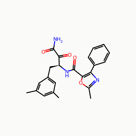 Cc1cc(C)cc(C[C@H](NC(=O)c2oc(C)nc2-c2ccccc2)C(=O)C(N)=O)c1